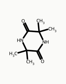 CC1(C)NC(=O)C(C)(C)NC1=O